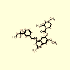 COc1cc2nc(C)nc(NCc3cccc(C(F)(F)CO)c3)c2cc1OC(=O)N1CCN(C)CC1C